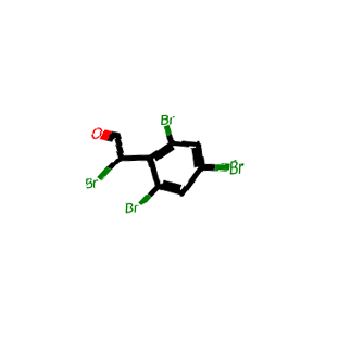 O=CC(Br)c1c(Br)cc(Br)cc1Br